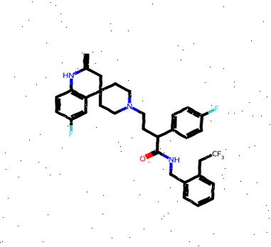 C=C1CC2(CCN(CCC(C(=O)NCc3ccccc3CC(F)(F)F)c3ccc(F)cc3)CC2)c2cc(F)ccc2N1